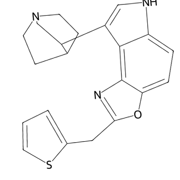 c1csc(Cc2nc3c(ccc4[nH]cc(C5CN6CCC5CC6)c43)o2)c1